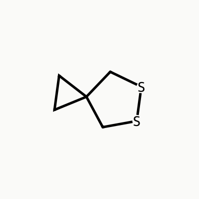 C1CC12CSSC2